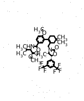 COC(=O)[C@H](NC(=O)c1ccc(OC)c(C2=C(CN3C(=O)O[C@H](c4cc(C(F)(F)F)cc(C(F)(F)F)c4)[C@@H]3C)CC(C)(C)CC2)c1)C(C)C